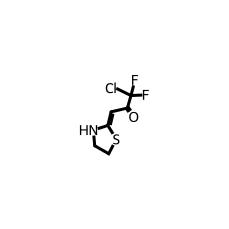 O=C(C=C1NCCS1)C(F)(F)Cl